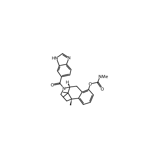 CNC(=O)Oc1cccc2c1C[C@H]1N(C(=O)c3ccc4nc[nH]c4c3)CC[C@]2(C)C1(C)C